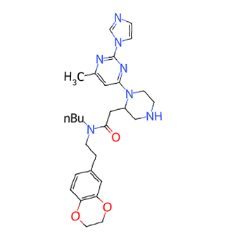 CCCCN(CCc1ccc2c(c1)OCCO2)C(=O)CC1CNCCN1c1cc(C)nc(-n2ccnc2)n1